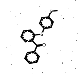 CSc1ccc(Sc2ccccc2C(=O)c2ccccc2)cc1